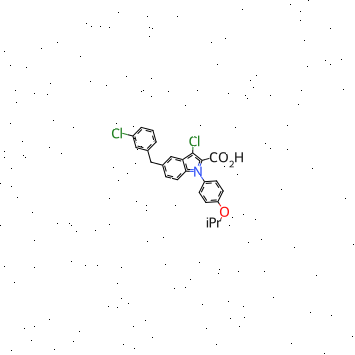 CC(C)Oc1ccc(-n2c(C(=O)O)c(Cl)c3cc(Cc4cccc(Cl)c4)ccc32)cc1